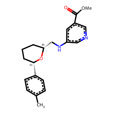 COC(=O)c1cncc(NC[C@H]2CCC[C@@H](c3ccc(C)cc3)O2)c1